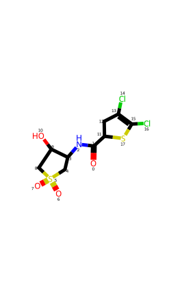 O=C(NC1CS(=O)(=O)CC1O)C1CC(Cl)=C(Cl)S1